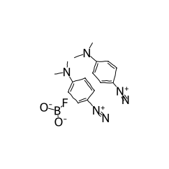 CN(C)c1ccc([N+]#N)cc1.CN(C)c1ccc([N+]#N)cc1.[O-]B([O-])F